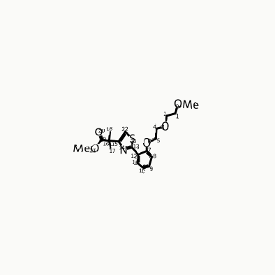 COCCOCCOc1ccccc1-c1nc(C(C)(C)C(=O)OC)cs1